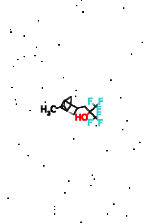 CC1C23CC24C(CC(O)(C(F)(F)F)C(F)(F)F)C[C@]14C3